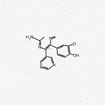 C=N/C(=C(\N=C(/C)N)c1cncnc1)c1ccc(O)c(Cl)c1